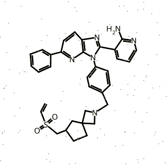 C=CS(=O)(=O)CC1CCC2(C1)CN(Cc1ccc(-n3c(-c4cccnc4N)nc4ccc(-c5ccccc5)nc43)cc1)C2